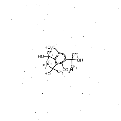 O=C(O)c1cc(C(O)(C(F)(F)F)C(F)(F)F)c(C(=O)O)c(C(O)(C(F)(F)F)C(F)(F)F)c1C(O)(C(F)(F)F)C(F)(F)F